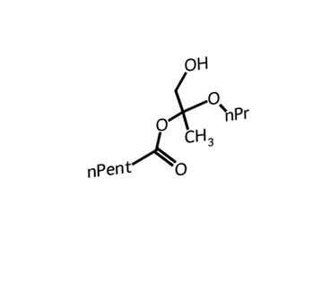 CCCCCC(=O)OC(C)(CO)OCCC